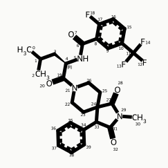 CC(C)C[C@@H](NC(=O)c1cc(C(F)(F)F)ccc1F)C(=O)N1CCC2(CC1)C(=O)N(C)C(=O)C2c1ccccc1